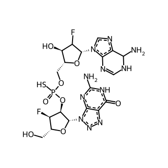 Nc1nc2c(nnn2[C@@H]2O[C@H](CO)[C@@H](F)[C@H]2OP(=O)(S)OC[C@H]2O[C@@H](n3cnc4c3N=CNC4N)C(F)[C@@H]2O)c(=O)[nH]1